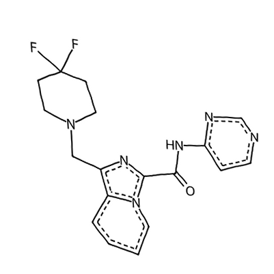 O=C(Nc1ccncn1)c1nc(CN2CCC(F)(F)CC2)c2ccccn12